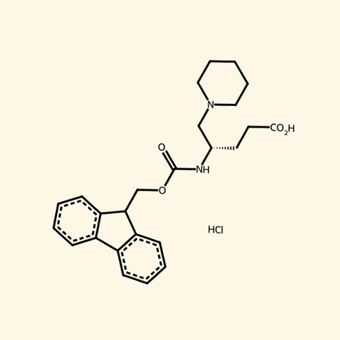 Cl.O=C(O)CC[C@@H](CN1CCCCC1)NC(=O)OCC1c2ccccc2-c2ccccc21